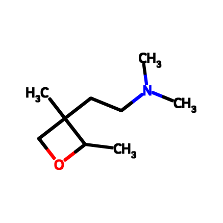 CC1OCC1(C)CCN(C)C